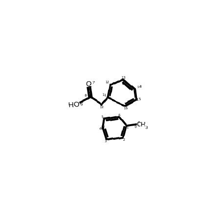 Cc1ccccc1.O=C(O)Cc1ccccc1